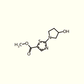 COC(=O)c1cnc(N2CCC(O)C2)s1